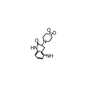 [NH]c1cccc2c1CC(N1CCS(=O)(=O)CC1)C(=O)N2